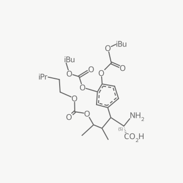 CCC(C)OC(=O)Oc1ccc(C(C(C)C(C)OC(=O)OCCC(C)C)[C@H](N)C(=O)O)cc1OC(=O)OC(C)CC